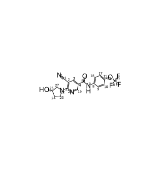 N#Cc1cc(C(=O)Nc2ccc(OC(F)(F)F)cc2)cnc1N1CCC(O)C1